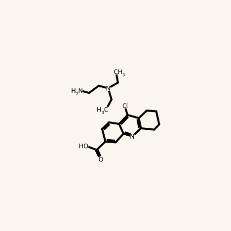 CCN(CC)CCN.O=C(O)c1ccc2c(Cl)c3c(nc2c1)CCCC3